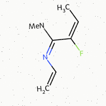 C=C/N=C(NC)\C(F)=C/C